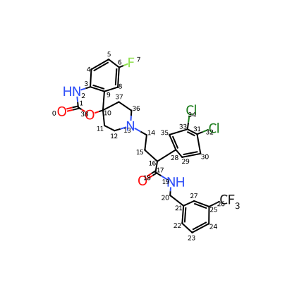 O=C1Nc2ccc(F)cc2C2(CCN(CCC(C(=O)NCc3cccc(C(F)(F)F)c3)c3ccc(Cl)c(Cl)c3)CC2)O1